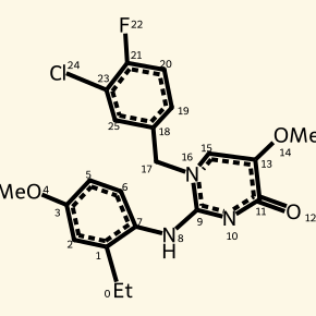 CCc1cc(OC)ccc1Nc1nc(=O)c(OC)cn1Cc1ccc(F)c(Cl)c1